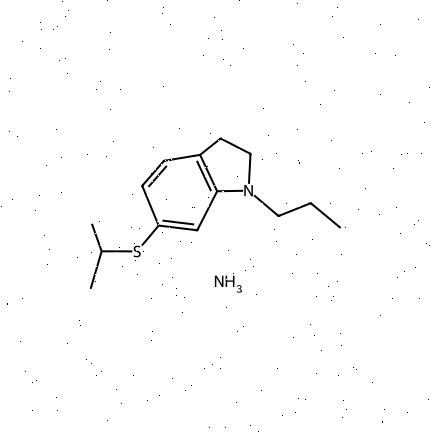 CCCN1CCc2ccc(SC(C)C)cc21.N